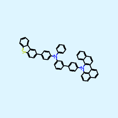 c1ccc(N(c2ccc(-c3ccc4sc5ccccc5c4c3)cc2)c2cccc(-c3ccc(N4c5c(ccc6ccccc56)-c5cccc6cccc4c56)cc3)c2)cc1